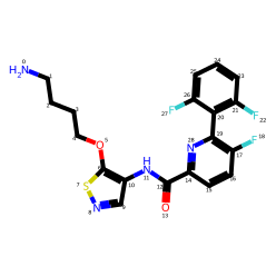 NCCCCOc1sncc1NC(=O)c1ccc(F)c(-c2c(F)cccc2F)n1